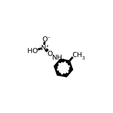 Cc1ccccc1.N.O=[N+]([O-])O